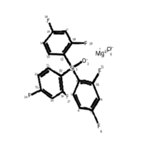 [Cl-].[Mg+2].[O-][Si](c1ccc(F)cc1F)(c1ccc(F)cc1F)c1ccc(F)cc1F